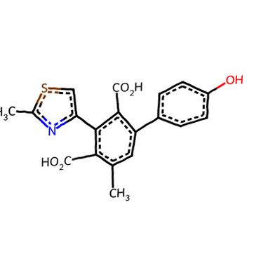 Cc1nc(-c2c(C(=O)O)c(C)cc(-c3ccc(O)cc3)c2C(=O)O)cs1